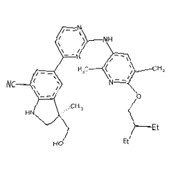 CCC(CC)COc1nc(C)c(Nc2nccc(-c3cc(C#N)c4c(c3)[C@@](C)(CO)CN4)n2)cc1C